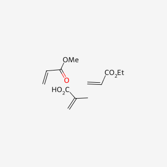 C=C(C)C(=O)O.C=CC(=O)OC.C=CC(=O)OCC